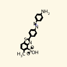 Cc1ccc2sc(-c3ccc(/N=N/c4ccc(N)cc4)cc3)nc2c1S(=O)(=O)O